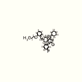 CCCOc1ccccc1CN1CCC2(CC1)C(NC1CCCCC1)=NC(=O)N2c1cccc(F)c1